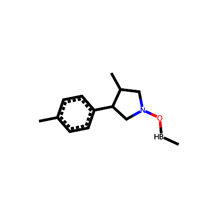 CBON1CC(C)C(c2ccc(C)cc2)C1